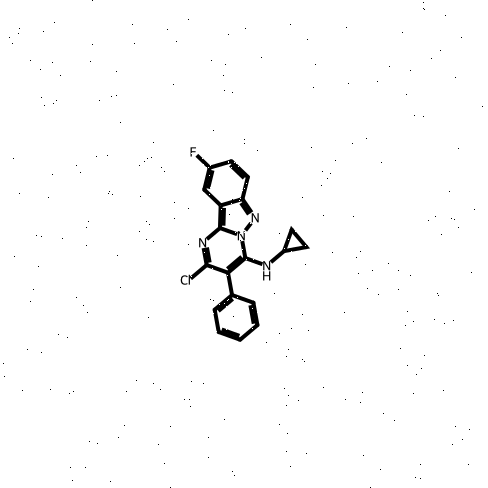 Fc1ccc2nn3c(NC4CC4)c(-c4ccccc4)c(Cl)nc3c2c1